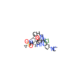 [C-]#[N+]c1ccc(Nc2ncnc(OC3C4CN(S(=O)(=O)C5CC5)CC3C(C)OC4C)c2C)c(Cl)c1